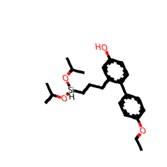 CCOc1ccc(-c2ccc(O)cc2CCC[SiH](OC(C)C)OC(C)C)cc1